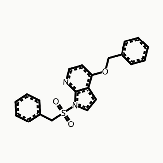 O=S(=O)(Cc1ccccc1)n1ccc2c(OCc3ccccc3)ccnc21